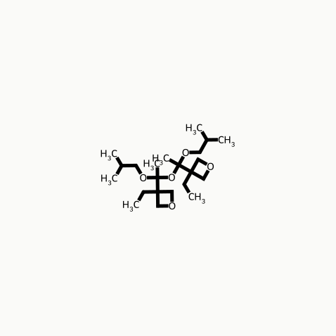 CCC1(C(C)(OCC(C)C)OC(C)(OCC(C)C)C2(CC)COC2)COC1